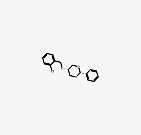 Clc1ccccc1CO[C@H]1CO[C@@H](c2ccccc2)OC1